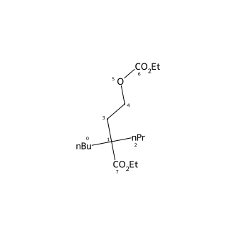 CCCCC(CCC)(CCOC(=O)OCC)C(=O)OCC